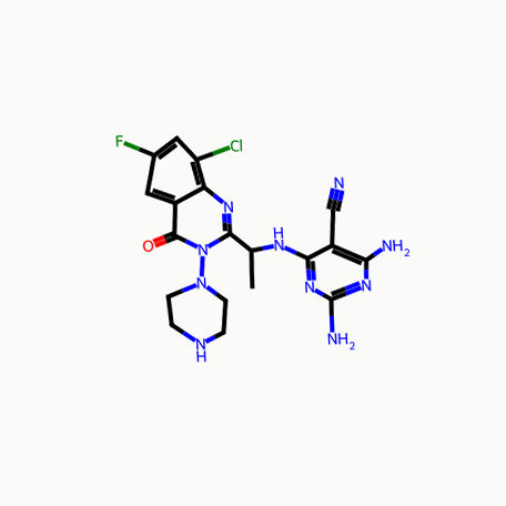 CC(Nc1nc(N)nc(N)c1C#N)c1nc2c(Cl)cc(F)cc2c(=O)n1N1CCNCC1